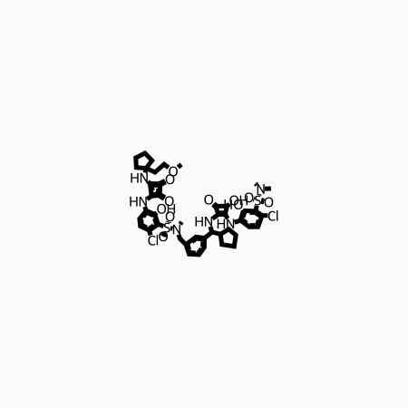 COCCC1(Nc2c(Nc3ccc(Cl)c(S(=O)(=O)N(C)Cc4cccc(C(NC5=C(Nc6ccc(Cl)c(S(=O)(=O)N(C)C)c6O)C(O)C5=O)C5CCCC5)c4)c3O)c(=O)c2=O)CCCC1